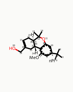 CCCC(C)(C)c1cc(OC)c2c(c1)OC(C)(C)[C@@H]1CC=C(CO)C[C@@H]21